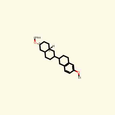 CCCCCCO[C@@H]1CC[C@@H]2CC(C3CCc4cc(OCC)ccc4C3)CCC2C1